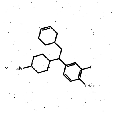 CCCCCCc1ccc(C(CC2CC=CCC2)C2CCC(CCC)CC2)cc1F